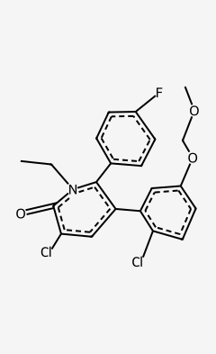 CCn1c(-c2ccc(F)cc2)c(-c2cc(OCOC)ccc2Cl)cc(Cl)c1=O